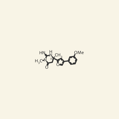 COc1cccc(-c2coc([C@]3(C)CC(=O)N(C)C(=N)N3)c2)c1